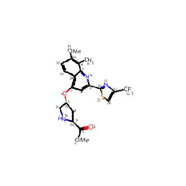 COC(=O)[C@@H]1C[C@H](Oc2cc(-c3nc(C(F)(F)F)cs3)nc3c(C)c(OC)ccc23)CN1